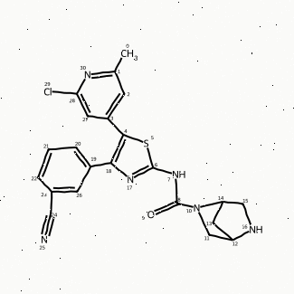 Cc1cc(-c2sc(NC(=O)N3CC4CC3CN4)nc2-c2cccc(C#N)c2)cc(Cl)n1